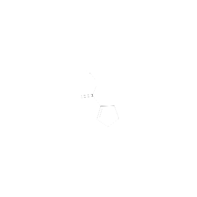 [SiH3]OC(=S)C1=CCCC1